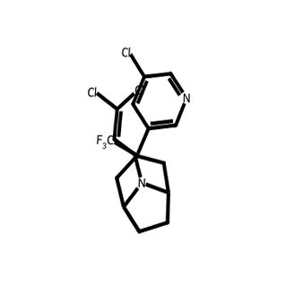 FC(F)(F)CN1C2CCC1CC(C=C(Cl)Cl)(c1cncc(Cl)c1)C2